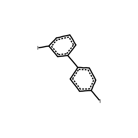 Ic1ccc(-c2cccc(I)c2)cc1